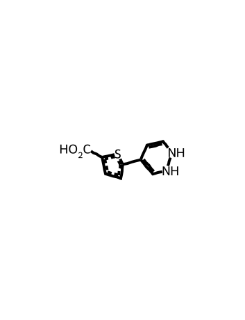 O=C(O)c1ccc(C2=CNNC=C2)s1